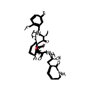 C[C@H](Nc1cc(F)ccc1F)C(=O)N1[C@H]2CC[C@@H]([C@H]1C(=O)N[C@@H](C#N)C[C@@H]1CCCNC1=O)C(F)(F)C2